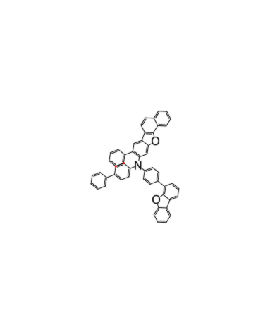 c1ccc(-c2ccc(N(c3ccc(-c4cccc5c4oc4ccccc45)cc3)c3cc4oc5c6ccccc6ccc5c4cc3-c3ccccc3)cc2)cc1